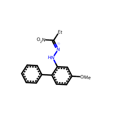 CC/C(=N/Nc1cc(OC)ccc1-c1ccccc1)[N+](=O)[O-]